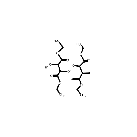 CCOC(=O)C([O-])C([O-])C(=O)OCC.CCOC(=O)C([O-])C([O-])C(=O)OCC.[Ti+4]